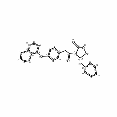 O=C(Cc1ccc(Oc2ccnc3ccccc23)cc1)N1C(=O)OC[C@@H]1Cc1ccccc1